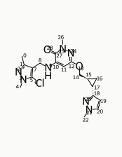 Cc1nn(C)c(Cl)c1CNc1cc(OC[C@H]2C[C@@H]2c2ccn(C)n2)nn(C)c1=O